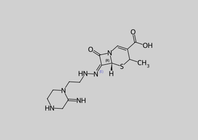 CC1S[C@@H]2/C(=N/NCCN3CCNCC3=N)C(=O)N2C=C1C(=O)O